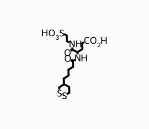 O=C(O)CCC(NC(=O)CCCCC1CCSSC1)C(=O)NCCS(=O)(=O)O